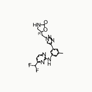 Cc1cc(Nc2nccc(C(F)F)n2)cc(-c2cn(C[C@H]3CNC(=O)O3)nn2)c1